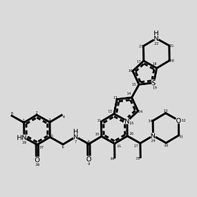 Cc1cc(C)c(CNC(=O)c2cc3cc(-c4cc5c(s4)CCNC5)cn3c(C(C)N3CCOCC3)c2C)c(=O)[nH]1